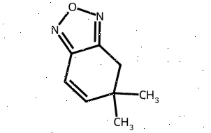 CC1(C)C=Cc2nonc2C1